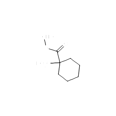 O=COC(=O)C1(C(=O)O)CCCCC1